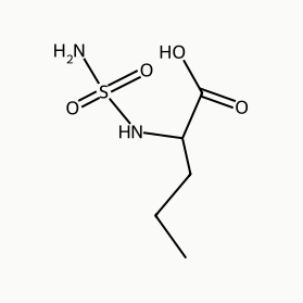 CCCC(NS(N)(=O)=O)C(=O)O